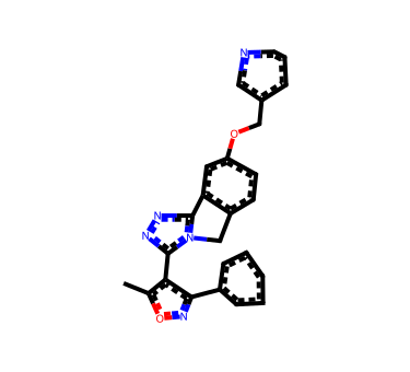 Cc1onc(-c2ccccc2)c1-c1nnc2n1Cc1ccc(OCc3cccnc3)cc1-2